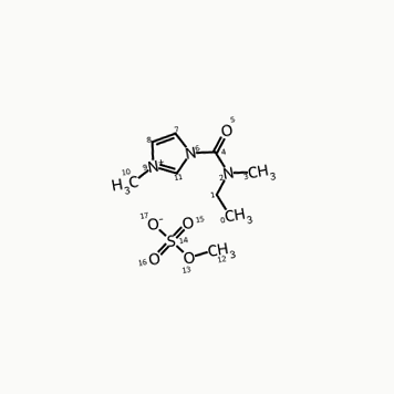 CCN(C)C(=O)n1cc[n+](C)c1.COS(=O)(=O)[O-]